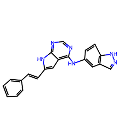 C(=Cc1cc2c(Nc3ccc4[nH]ncc4c3)ncnc2[nH]1)c1ccccc1